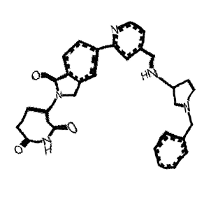 O=C1CCC(N2Cc3cc(-c4cc(CNC5CCN(Cc6ccccc6)C5)ccn4)ccc3C2=O)C(=O)N1